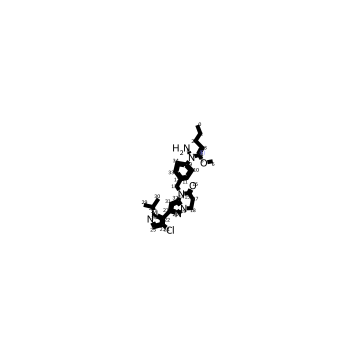 CCC/C=C(/OC)N(N)c1ccc(CN2C(=O)CCn3nc(-c4c(Cl)cnn4C(C)C)cc32)cc1